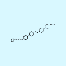 CCC[C@H]1CC[C@H]([C@H]2CC[C@H](CC[C@H]3CC[C@H](c4ccc(CCCCCl)cc4)CC3)CC2)CC1